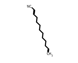 C=CCCCCCCCC/C=C/C#N